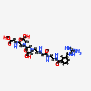 N=C(N)NCc1cccc(C(=O)NCCNC(=O)CNCCN(CCN(CCNCC(=O)O)CC(=O)O)CC(=O)O)c1